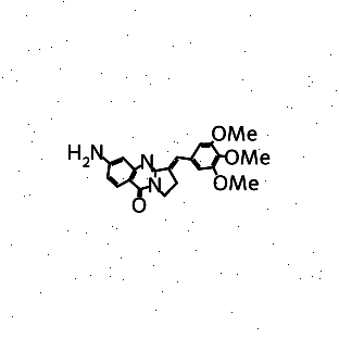 COc1cc(/C=C2\CCn3c2nc2cc(N)ccc2c3=O)cc(OC)c1OC